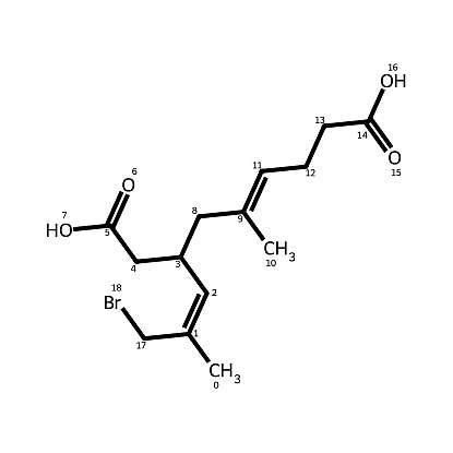 CC(=CC(CC(=O)O)CC(C)=CCCC(=O)O)CBr